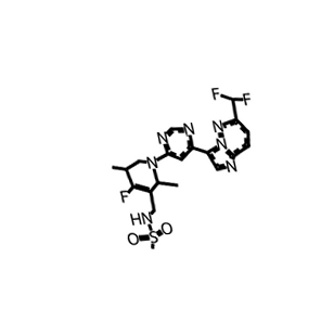 CC1CN(c2cc(-c3cnc4ccc(C(F)F)nn34)ncn2)C(C)C(CNS(C)(=O)=O)=C1F